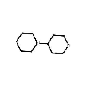 C1CC[N+](C2CC[N]CC2)CC1